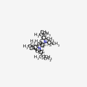 CCC(C)(CC)c1ccc(N(c2ccc(N(c3ccc(C)cc3)c3c(C)cc(C(C)(C)C)cc3C)cc2)c2c(C)cc(C(C)(C)C)cc2C)cc1